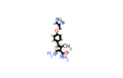 Cc1c(-c2ccc(OCc3cnsn3)cc2)sc(N)c1C(N)=O